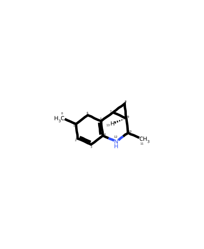 CC1C=CC2=C(C1)C1C[C@H]1C(C)N2